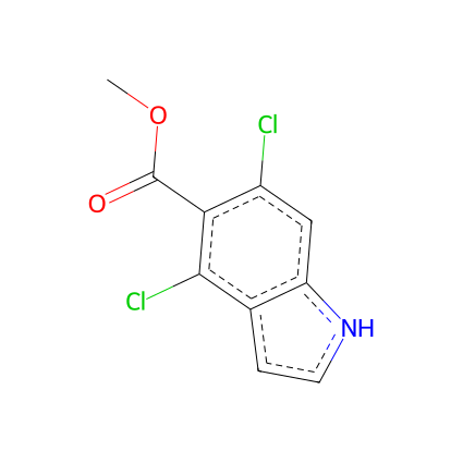 COC(=O)c1c(Cl)cc2[nH]ccc2c1Cl